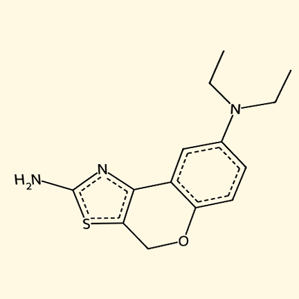 CCN(CC)c1ccc2c(c1)-c1nc(N)sc1CO2